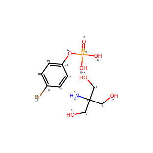 NC(CO)(CO)CO.O=P(O)(O)Oc1ccc(Br)cc1